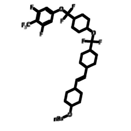 CCCCOC1CCC(/C=C/C2CCC(C(F)(F)OC3CCC(C(F)(F)Oc4cc(F)c(C(F)(F)F)c(F)c4)CC3)CC2)CC1